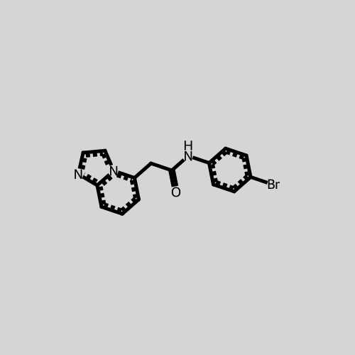 O=C(Cc1cccc2nccn12)Nc1ccc(Br)cc1